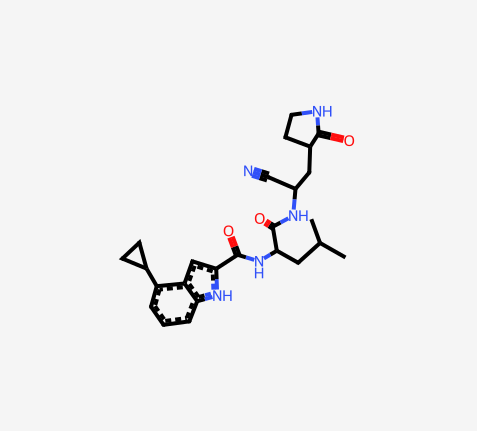 CC(C)CC(NC(=O)c1cc2c(C3CC3)cccc2[nH]1)C(=O)NC(C#N)CC1CCNC1=O